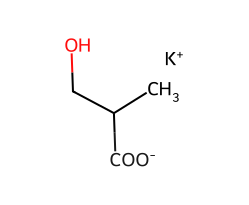 CC(CO)C(=O)[O-].[K+]